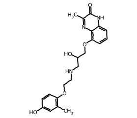 Cc1cc(O)ccc1OCCNCC(O)COc1cccc2[nH]c(=O)c(C)nc12